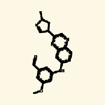 COc1cc(C=O)cc(Nc2ccc3ncc(C4C=NN(C)C4)nc3c2)c1